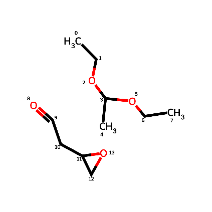 CCOC(C)OCC.O=CCC1CO1